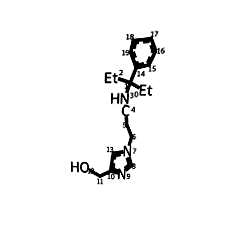 CCC(CC)(NCCCn1cnc(CO)c1)c1ccccc1